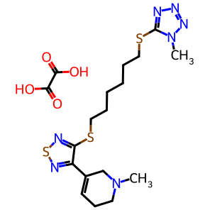 CN1CCC=C(c2nsnc2SCCCCCCSc2nnnn2C)C1.O=C(O)C(=O)O